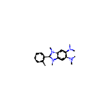 Cc1ccccc1C1N(C)c2cc(N(C)C)c(N(C)C)cc2N1C